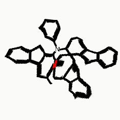 Cc1cc2c(c(N(C3=CC=C4C(=Cc5ccccc54)C34C=CC=C3C4=Cc4ccccc43)c3ccccc3)c1C)Cc1ccccc1-2